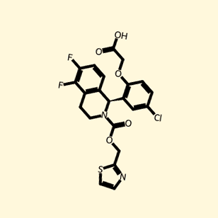 O=C(O)COc1ccc(Cl)cc1[C@@H]1c2ccc(F)c(F)c2CCN1C(=O)OCc1nccs1